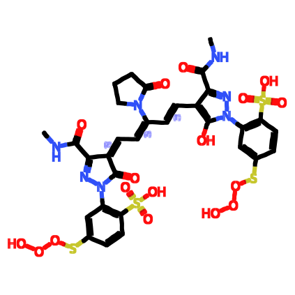 CNC(=O)C1=NN(c2cc(SOOO)ccc2S(=O)(=O)O)C(=O)\C1=C/C=C(/C=C/c1c(C(=O)NC)nn(-c2cc(SOOO)ccc2S(=O)(=O)O)c1O)N1CCCC1=O